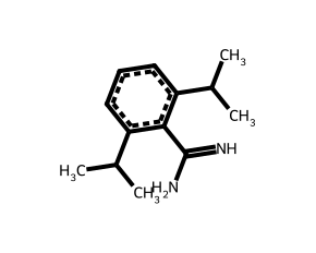 CC(C)c1cccc(C(C)C)c1C(=N)N